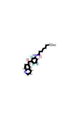 CCCCCCCCCCCCCCCC(=O)Nc1cc(F)c(F)c(C(=O)c2ccc3ncccc3c2)c1F